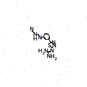 N#CN/C=N/c1cccc(-c2nnc(N=C(N)N)s2)c1